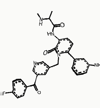 CNC(C)C(=O)Nc1ccc(-c2cccc(N)c2)n(Cc2cncc(C(=O)c3ccc(F)cc3)c2)c1=O